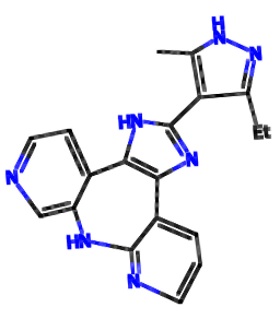 CCc1n[nH]c(C)c1-c1nc2c([nH]1)-c1ccncc1Nc1ncccc1-2